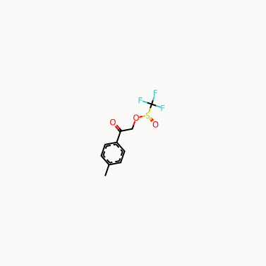 Cc1ccc(C(=O)COS(=O)C(F)(F)F)cc1